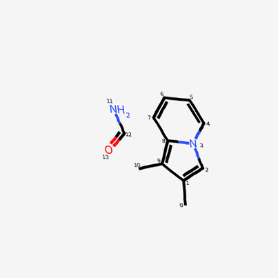 Cc1cn2ccccc2c1C.NC=O